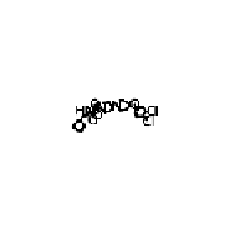 O=C(Cc1ccccc1)NS(=O)(=O)N1CCC(N2CCC(Oc3ccc(Cl)c(Cl)c3)CC2)CC1